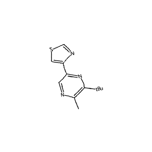 Cc1ncc(-c2cscn2)nc1C(C)(C)C